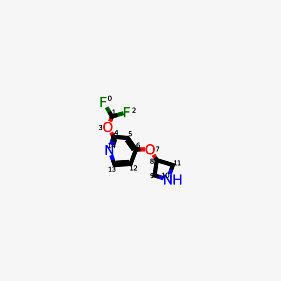 FC(F)Oc1cc(OC2CNC2)ccn1